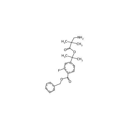 CC(C)(CN)C(=O)OC(C)(C)c1ccc(C(=O)OCc2ccccc2)c(F)c1